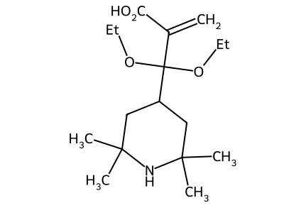 C=C(C(=O)O)C(OCC)(OCC)C1CC(C)(C)NC(C)(C)C1